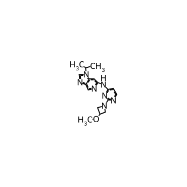 COC1CN(c2nccc(Nc3cc4c(cn3)ncn4C(C)C)n2)C1